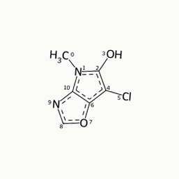 Cn1c(O)c(Cl)c2ocnc21